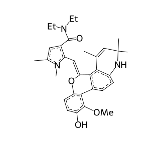 CCN(CC)C(=O)c1cc(C)n(C)c1/C=C1\Oc2ccc(O)c(OC)c2-c2ccc3c(c21)C(C)=CC(C)(C)N3